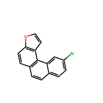 Brc1ccc2ccc3ccc4occc4c3c2c1